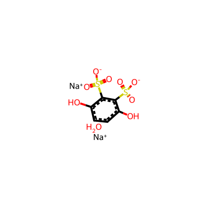 O.O=S(=O)([O-])c1c(O)ccc(O)c1S(=O)(=O)[O-].[Na+].[Na+]